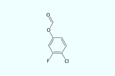 O=COc1ccc(Cl)c(F)c1